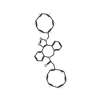 O=C(CC1=C/C=C\C=C/C=C\C=C/C=C\1)N1Cc2ccccc2-c2c(nnn2CC2=C/C=C\C=C/C=C\C=C/C=C\2)-c2ccccc21